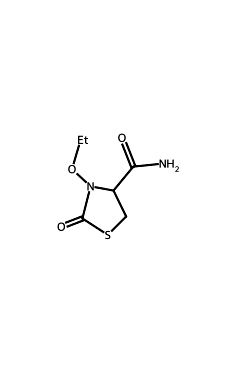 CCON1C(=O)SCC1C(N)=O